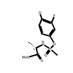 COC(=O)[C@H](C)NP(C)(=O)Oc1ccc(Cl)c(F)c1